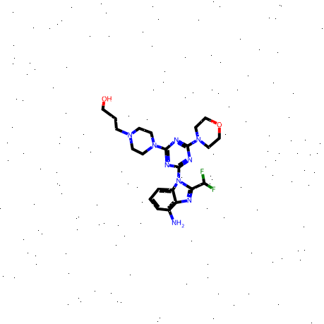 Nc1cccc2c1nc(C(F)F)n2-c1nc(N2CCOCC2)nc(N2CCN(CCCO)CC2)n1